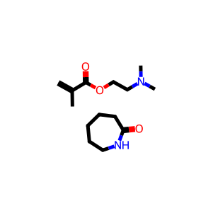 C=C(C)C(=O)OCCN(C)C.O=C1CCCCCN1